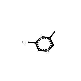 Cc1cn[c]c(C(F)(F)F)n1